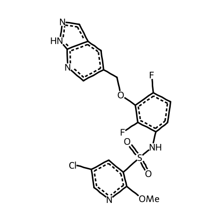 COc1ncc(Cl)cc1S(=O)(=O)Nc1ccc(F)c(OCc2cnc3[nH]ncc3c2)c1F